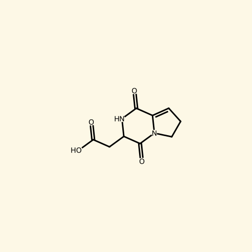 O=C(O)CC1NC(=O)C2=CCCN2C1=O